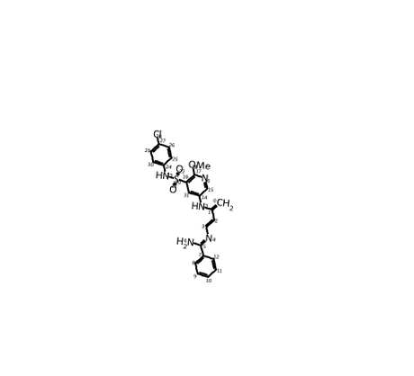 C=C(/C=C/N=C(\N)c1ccccc1)Nc1cnc(OC)c(S(=O)(=O)Nc2ccc(Cl)cc2)c1